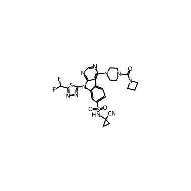 N#CC1(NS(=O)(=O)c2ccc3c4c(N5CCN(C(=O)N6CCC6)CC5)ncnc4n(-c4nnc(C(F)F)s4)c3c2)CC1